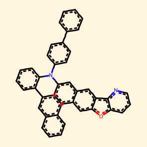 c1ccc(-c2ccc(N(c3ccc4cc5oc6cccnc6c5cc4c3)c3ccccc3-c3ccc4ccccc4c3)cc2)cc1